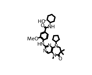 COc1cc(C(=O)N[C@@H]2CCCC[C@H]2O)ccc1Nc1ncc2c(n1)N(C1CCCC1)CC(C)(C)C(=O)N2C